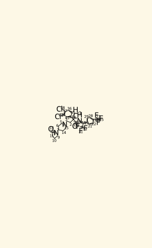 CC(CCN1CCC(N2CCCC2=O)CC1)(C(=O)NC(c1ccc(C(F)(F)F)cc1)C(F)(F)F)c1ccc(Cl)c(Cl)c1